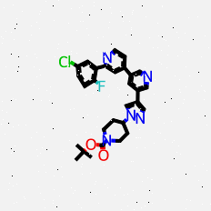 CC(C)(C)OC(=O)N1CCC(n2cc(-c3cncc(-c4ccnc(-c5cc(Cl)ccc5F)c4)c3)cn2)CC1